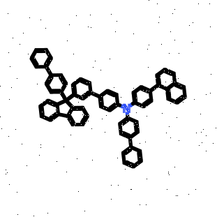 c1ccc(-c2ccc(N(c3ccc(-c4cccc(C5(c6ccc(-c7ccccc7)cc6)c6ccccc6-c6ccccc65)c4)cc3)c3ccc(-c4cccc5ccccc45)cc3)cc2)cc1